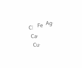 [Ag].[C].[Ca].[Cu].[Fe]